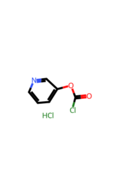 Cl.O=C(Cl)Oc1cccnc1